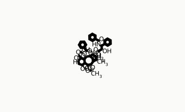 CC(=O)O[C@H]1C(=O)[C@@]2(C)C(C(OC(=O)c3ccccc3)[C@]3(O)CC(OC(=O)C(O)C(NC(=O)c4ccccc4)c4ccccc4)C(C)=C1C3(C)C)[C@]1(OC(C)=O)CO[C@@H]1C[C@@H]2O